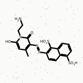 Cc1cc(O)n(CCN)c(=O)c1N=Nc1ccc2c(S(=O)(=O)O)cccc2c1S(=O)(=O)O